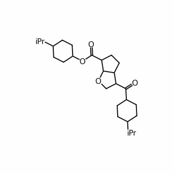 CC(C)C1CCC(OC(=O)C2CCC3C(C(=O)C4CCC(C(C)C)CC4)COC23)CC1